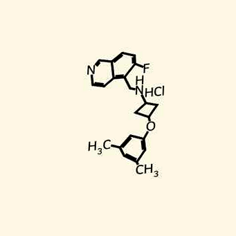 Cc1cc(C)cc(OC2CC(NCc3c(F)ccc4cnccc34)C2)c1.Cl